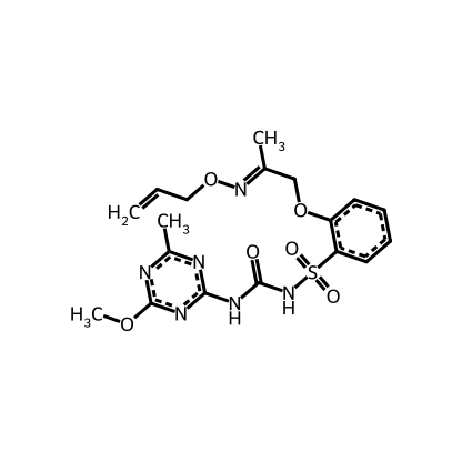 C=CCON=C(C)COc1ccccc1S(=O)(=O)NC(=O)Nc1nc(C)nc(OC)n1